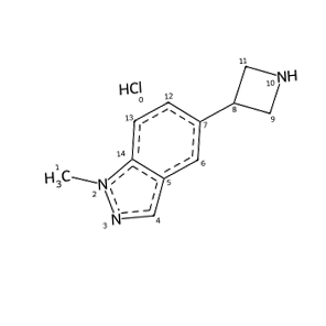 Cl.Cn1ncc2cc(C3CNC3)ccc21